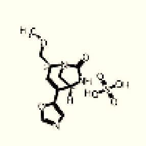 COC[C@@H]1C=C(c2cnco2)[C@@H]2CN1C(=O)N2.O=S(=O)(O)O